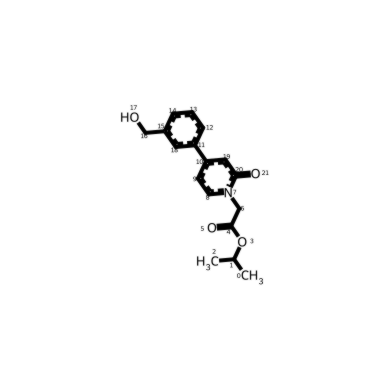 CC(C)OC(=O)Cn1ccc(-c2cccc(CO)c2)cc1=O